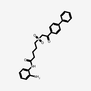 Nc1ccccc1NC(=O)CCCCS(=O)(=O)CC(=O)c1ccc(-c2ccccc2)cc1